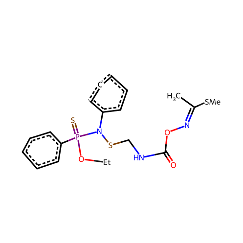 CCOP(=S)(c1ccccc1)N(SCNC(=O)ON=C(C)SC)c1ccccc1